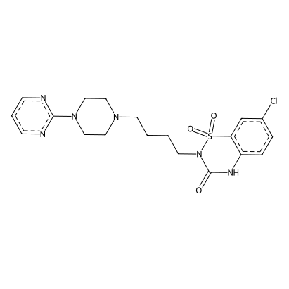 O=C1Nc2ccc(Cl)cc2S(=O)(=O)N1CCCCN1CCN(c2ncccn2)CC1